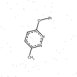 Cc1ccc(OC(C)C)nn1